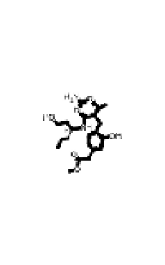 CCC[C@@H](CCO)Nc1nc(N)nc(C)c1Cc1ccc(CC(=O)OC)cc1O